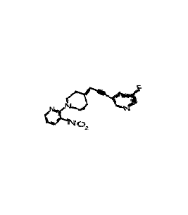 O=[N+]([O-])c1cccnc1N1CCC(=CC#Cc2cncc(F)c2)CC1